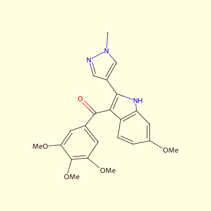 COc1ccc2c(C(=O)c3cc(OC)c(OC)c(OC)c3)c(-c3cnn(C)c3)[nH]c2c1